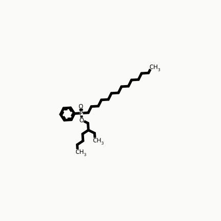 CCCCCCCCCCCCCCP(=O)(OCC(CC)CCCC)c1ccccc1